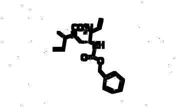 C=CC(C)N(C[C@@H](NC(=O)OCc1ccccc1)[C@@H](C)C=C)C(=O)O